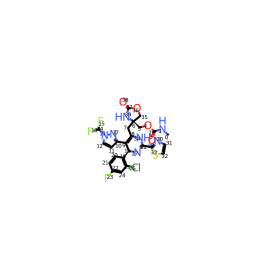 CNC(=O)OC[C@]1(CC2=C(c3ccn(C(F)F)n3)[C@H](c3ccc(F)cc3Cl)N=C(c3nccs3)N2)COC(=O)N1